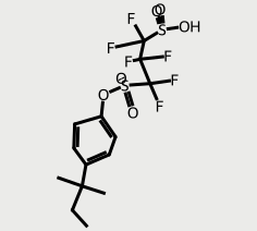 CCC(C)(C)c1ccc(OS(=O)(=O)C(F)(F)C(F)(F)C(F)(F)S(=O)(=O)O)cc1